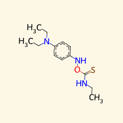 CCNC(=S)ONc1ccc(N(CC)CC)cc1